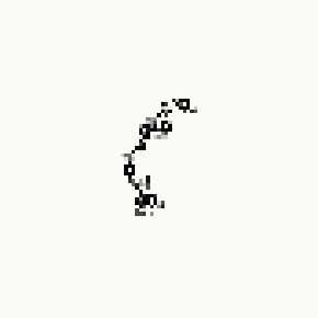 COc1ccc(CN2CCC(COC(=O)C(O)(c3ccccc3)c3cccc(-c4ccc(CNC(=O)c5ccc(CNC[C@H](O)c6ccc(O)c7[nH]c(=O)ccc67)cc5)s4)c3)CC2)cc1